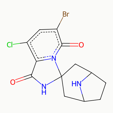 O=C1NC2(CC3CCC(C2)N3)n2c1c(Cl)cc(Br)c2=O